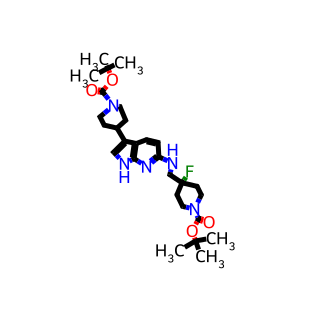 CC(C)(C)OC(=O)N1CCC(c2c[nH]c3nc(NCC4(F)CCN(C(=O)OC(C)(C)C)CC4)ccc23)CC1